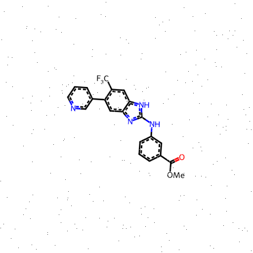 COC(=O)c1cccc(Nc2nc3cc(-c4cccnc4)c(C(F)(F)F)cc3[nH]2)c1